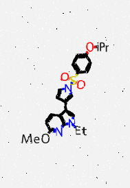 CCn1cc(-c2ccn(S(=O)(=O)c3ccc(OC(C)C)cc3)c2)c2ccc(OC)nc21